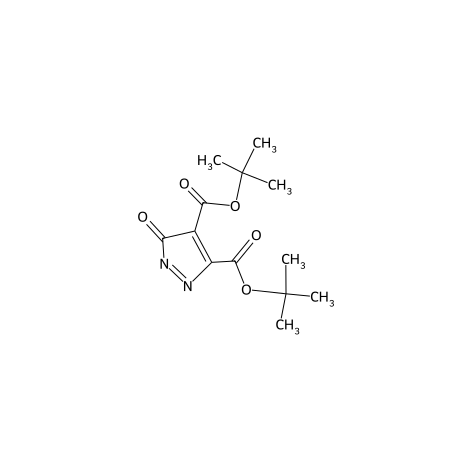 CC(C)(C)OC(=O)C1=C(C(=O)OC(C)(C)C)C(=O)N=N1